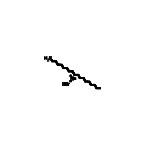 Br.CCCCCCCCCCCCCCCCCCN.CN(C)C